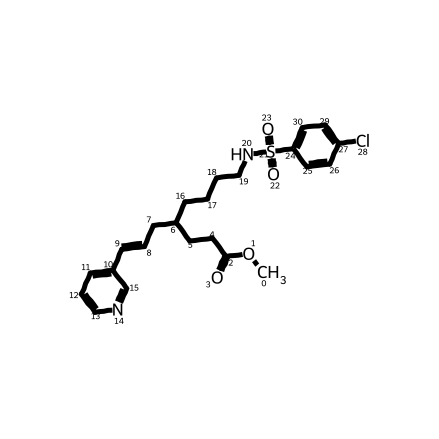 COC(=O)CCC(C/C=C/c1cccnc1)CCCCNS(=O)(=O)c1ccc(Cl)cc1